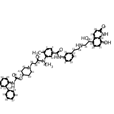 Cc1ccc(C(=O)Nc2cccc(CCNC[C@H](O)c3ccc(O)c4[nH]c(=O)ccc34)c2)cc1N(C)C(=O)CCN1CCC(OC(=O)Nc2ccccc2-c2ccccc2)CC1